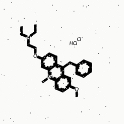 CCN(CC)CCOc1ccc2c(Cc3ccccc3)c3cc(OC)ccc3[n+](C)c2c1.Cl.[Cl-]